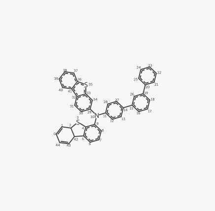 C1=CC2Sc3c(cccc3N(c3ccc(-c4cccc(-c5ccccc5)c4)cc3)c3ccc4c(c3)sc3ccccc34)C2C=C1